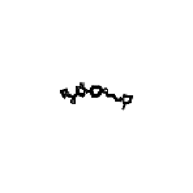 C[C@@H]1CCCN1CCCOc1ccc(-n2cc(C(=O)N3CCC3)nn2)cc1